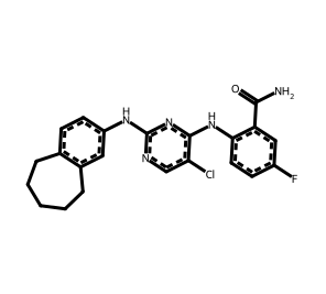 NC(=O)c1cc(F)ccc1Nc1nc(Nc2ccc3c(c2)CCCCC3)ncc1Cl